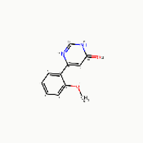 COc1ccccc1-c1cc(=O)[nH]cn1